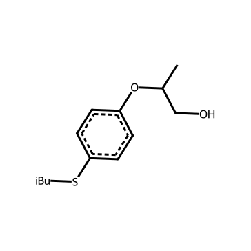 CCC(C)Sc1ccc(OC(C)CO)cc1